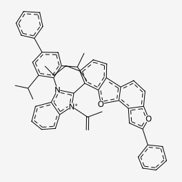 C=C(C)[n+]1c(-c2c(CCC)ccc3c2oc2c4cc(-c5ccccc5)oc4ccc32)n(-c2c(C(C)C)cc(-c3ccccc3)cc2C(C)C)c2ccccc21